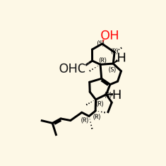 CC(C)=CCC[C@@H](C)[C@H]1CC[C@H]2C3=C(CC[C@]12C)[C@@]1(C)C(C=O)C[C@H](O)[C@H](C)[C@@H]1CC3